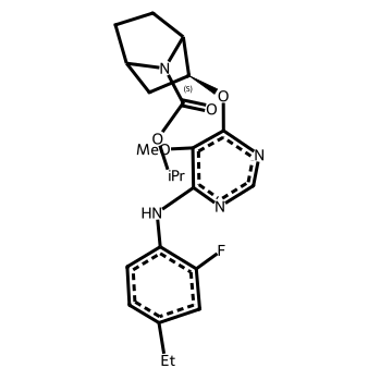 CCc1ccc(Nc2ncnc(O[C@H]3CC4CCC3N4C(=O)OC(C)C)c2OC)c(F)c1